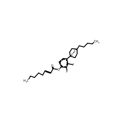 CCCCCC=CC(=O)Oc1ccc(C23CCC(CCCCC)(CC2)CC3)c(F)c1F